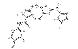 Cc1nnc(C(=O)N2CC3COc4c(cn(C)c4C(=O)Nc4ccc(F)c(C)c4)SNC3C2)o1